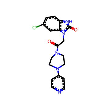 O=C(Cn1c(=O)[nH]c2ccc(Cl)cc21)N1CCN(c2ccncc2)CC1